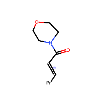 CC(C)/C=C/C(=O)N1CCOCC1